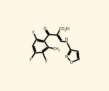 CCOC(=O)C(=CNc1ccon1)C(=O)c1c(F)cc(F)c(F)c1C